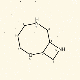 C1CNCC2NCC2OC1